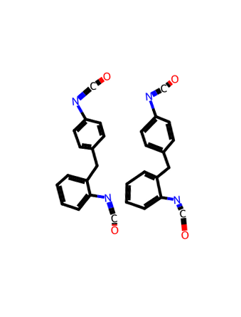 O=C=Nc1ccc(Cc2ccccc2N=C=O)cc1.O=C=Nc1ccc(Cc2ccccc2N=C=O)cc1